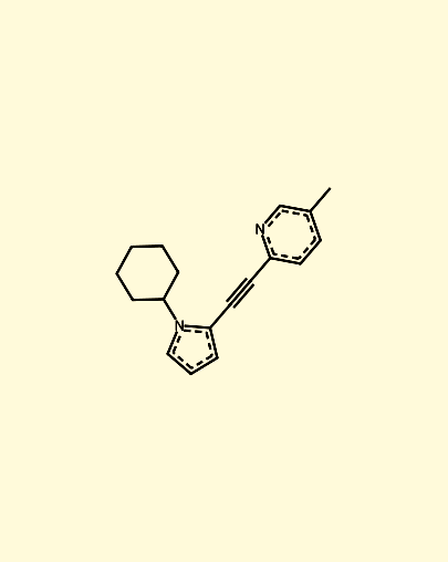 Cc1ccc(C#Cc2cccn2C2CCCCC2)nc1